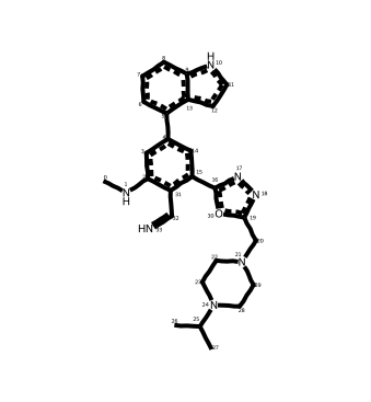 CNc1cc(-c2cccc3[nH]ccc23)cc(-c2nnc(CN3CCN(C(C)C)CC3)o2)c1C=N